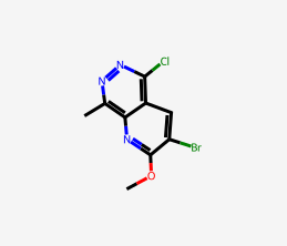 COc1nc2c(C)nnc(Cl)c2cc1Br